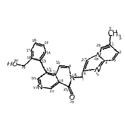 Cc1ccc2nc(Cn3ccc4c(-c5ccccc5CO)cncc4c3=O)cn2c1